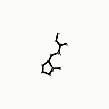 CCC(C)OCC1CCCN1C